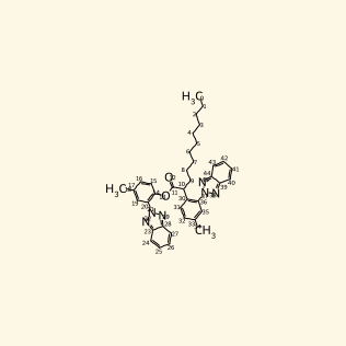 CCCCCCCCCCC(C(=O)Oc1ccc(C)cc1-n1nc2ccccc2n1)c1ccc(C)cc1-n1nc2ccccc2n1